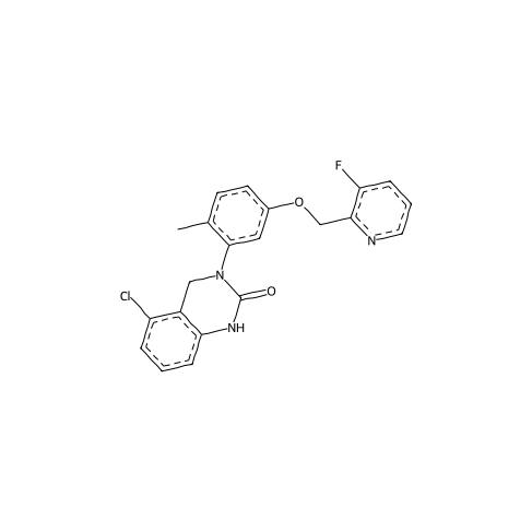 Cc1ccc(OCc2ncccc2F)cc1N1Cc2c(Cl)cccc2NC1=O